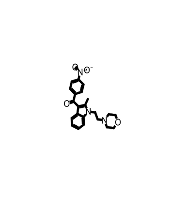 Cc1c(C(=O)c2ccc([N+](=O)[O-])cc2)c2ccccc2n1CCN1CCOCC1